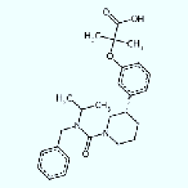 CC(C)N(Cc1ccccc1)C(=O)N1CCC[C@@H](c2cccc(OC(C)(C)C(=O)O)c2)C1